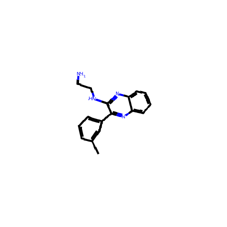 Cc1cccc(-c2nc3ccccc3nc2NCCN)c1